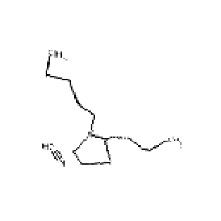 C#N.CCCCCN1CCCC1CCC